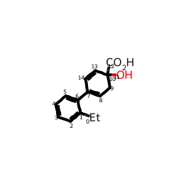 CCc1ccccc1C1=CCC(O)(C(=O)O)C=C1